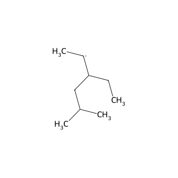 C[CH]C(CC)CC(C)C